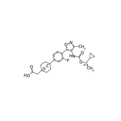 Cc1noc(-c2ccc(C34CCC(CC(=O)O)(CC3)OC4)cc2F)c1NC(=O)O[C@H](C)C1CC1